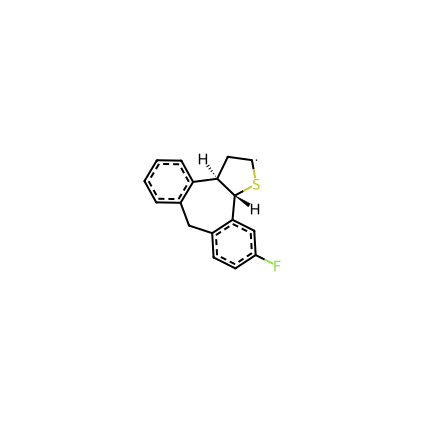 Fc1ccc2c(c1)[C@H]1S[CH]C[C@@H]1c1ccccc1C2